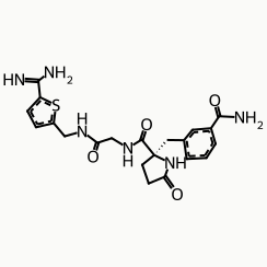 N=C(N)c1ccc(CNC(=O)CNC(=O)[C@]2(Cc3cccc(C(N)=O)c3)CCC(=O)N2)s1